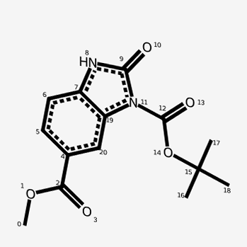 COC(=O)c1ccc2[nH]c(=O)n(C(=O)OC(C)(C)C)c2c1